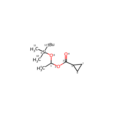 CC(OC(=O)C1CC1)O[Si](C)(C)C(C)(C)C